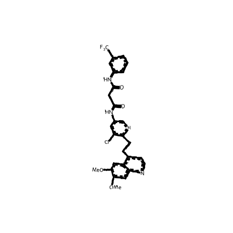 COc1cc2nccc(CCc3ncc(NC(=O)CC(=O)Nc4cccc(C(F)(F)F)c4)cc3Cl)c2cc1OC